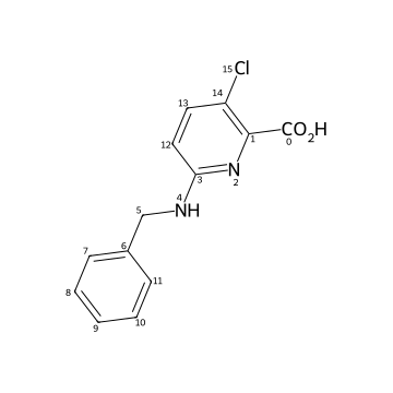 O=C(O)c1nc(NCc2ccccc2)ccc1Cl